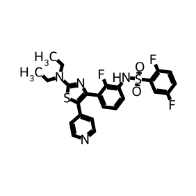 CCN(CC)c1nc(-c2cccc(NS(=O)(=O)c3cc(F)ccc3F)c2F)c(-c2ccncc2)s1